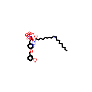 CCCCCCCC/C=C\CCCCCCCC(=O)N[C@@H](Cc1ccc(OCc2cccc(OC)c2)cc1)CP(=O)(O)O